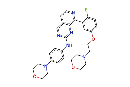 Fc1ccc(OCCN2CCOCC2)cc1-c1nccc2cnc(Nc3ccc(N4CCOCC4)cc3)nc12